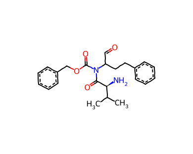 CC(C)[C@H](N)C(=O)N(C(=O)OCc1ccccc1)C(C=O)CCc1ccccc1